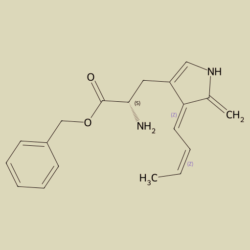 C=c1[nH]cc(C[C@H](N)C(=O)OCc2ccccc2)/c1=C/C=C\C